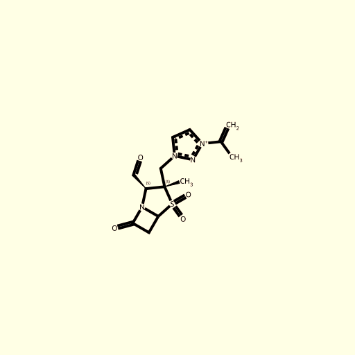 C=C(C)[n+]1ccn(C[C@@]2(C)[C@H](C=O)N3C(=O)CC3S2(=O)=O)n1